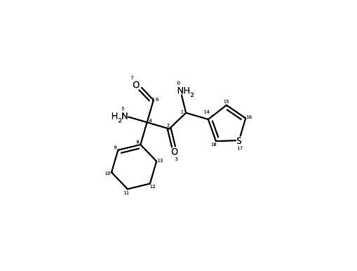 NC(C(=O)C(N)([C]=O)C1=CCCCC1)c1ccsc1